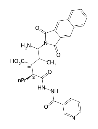 CCC[C@H](C(=O)NNC(=O)c1cccnc1)[C@H](C(=O)O)C(C)C(N)N1C(=O)c2cc3ccccc3cc2C1=O